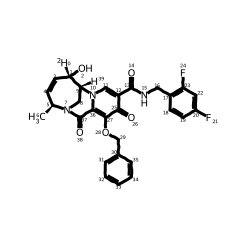 [2H][C@]1(O)C=C[C@H](C)N2C[C@H]1n1cc(C(=O)NCc3ccc(F)cc3F)c(=O)c(OCc3ccccc3)c1C2=O